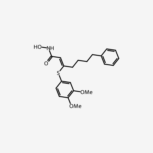 COc1ccc(S/C(=C\C(=O)NO)CCCCc2ccccc2)cc1OC